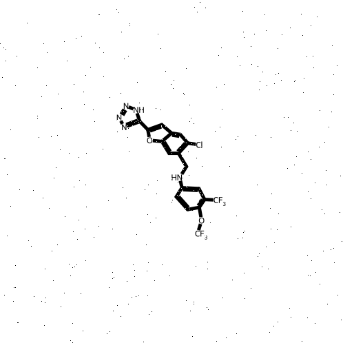 FC(F)(F)Oc1ccc(NCc2cc3oc(-c4nnn[nH]4)cc3cc2Cl)cc1C(F)(F)F